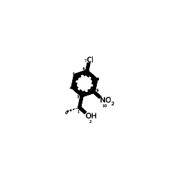 C[C@@H](O)c1ccc(Cl)cc1[N+](=O)[O-]